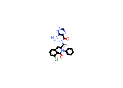 C[C@H](NC(=O)c1ncnnc1N)c1cc2cccc(Cl)c2c(=O)n1-c1ccccc1